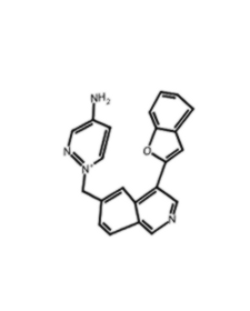 Nc1cc[n+](Cc2ccc3cncc(-c4cc5ccccc5o4)c3c2)nc1